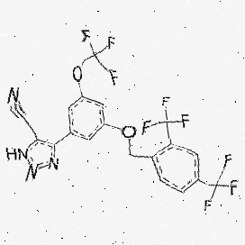 N#Cc1[nH]nnc1-c1cc(OCc2ccc(C(F)(F)F)cc2C(F)(F)F)cc(OC(F)(F)F)c1